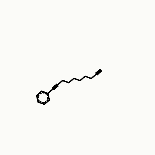 C#CCCCCCCC#Cc1ccccc1